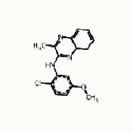 COc1ccc(Cl)c(NC2=NC3CC=CC=C3N=C2C)c1